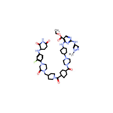 CCOC(=O)c1cnc(Nc2cnn(C)c2)nc1NC1CCC(N2CCN(C(=O)C3CCC(C(=O)N4CCC(CN5CCN(c6ccc(NC7CCC(=O)NC7=O)cc6F)CC5=O)CC4)CC3)CC2)CC1